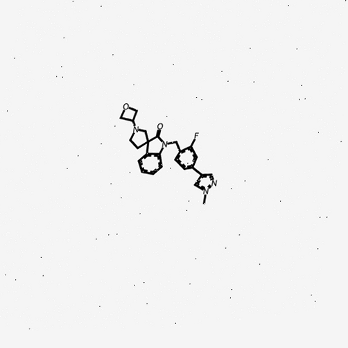 Cn1cc(-c2ccc(CN3C(=O)C4(CCN(C5COC5)C4)c4ccccc43)c(F)c2)cn1